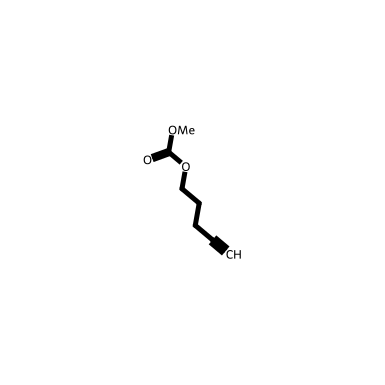 C#CCCCOC(=O)OC